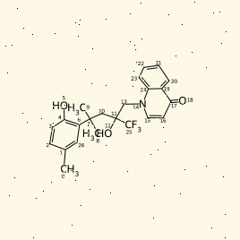 Cc1ccc(O)c(C(C)(C)CC(O)(Cn2ccc(=O)c3ccccc32)C(F)(F)F)c1